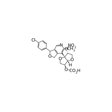 Cc1ncc2c(c1[C@]13OC[C@H](OC(=O)O)[C@H]1OC[C@H]3O[N+](=O)[O-])COC2c1ccc(Cl)cc1